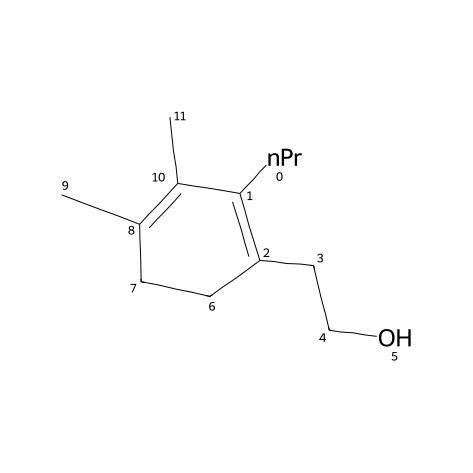 CCCC1=C(CCO)CCC(C)=C1C